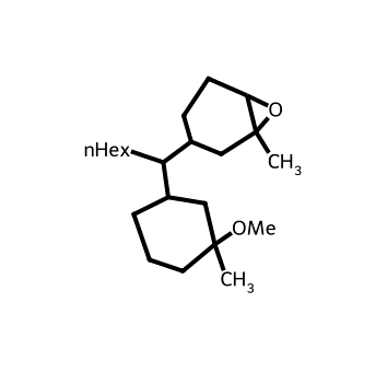 CCCCCCC(C1CCCC(C)(OC)C1)C1CCC2OC2(C)C1